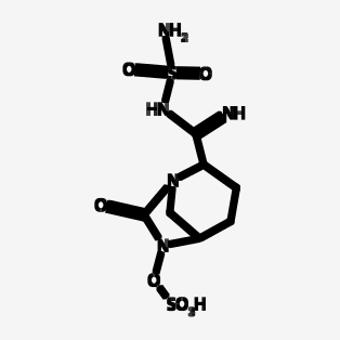 N=C(NS(N)(=O)=O)C1CCC2CN1C(=O)N2OS(=O)(=O)O